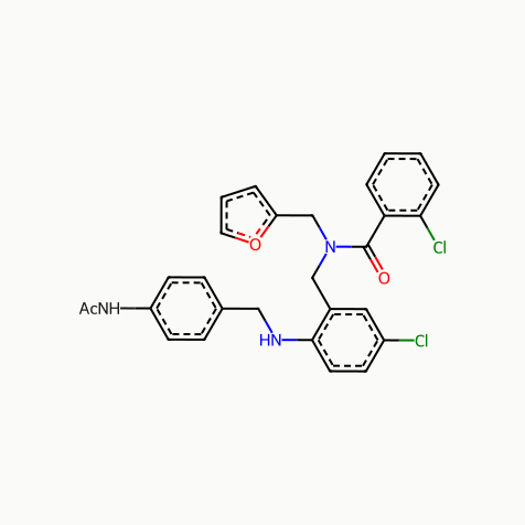 CC(=O)Nc1ccc(CNc2ccc(Cl)cc2CN(Cc2ccco2)C(=O)c2ccccc2Cl)cc1